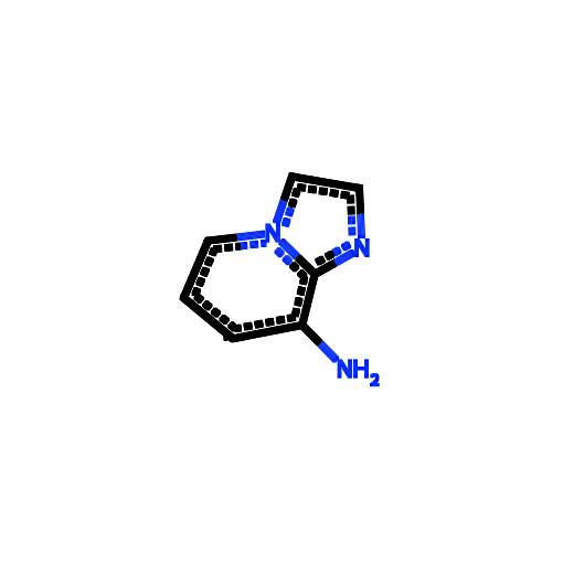 Nc1[c]ccn2ccnc12